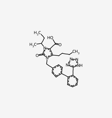 CCCCc1c(C(=O)O)n(C(C)CC)c(=O)n1Cc1ccc(-c2ccccc2-c2nnn[nH]2)cc1